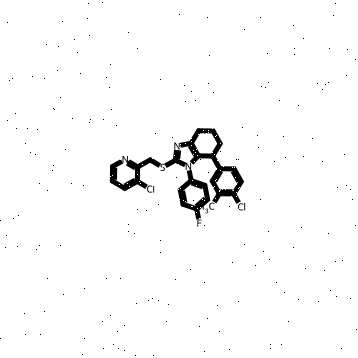 Cc1cc(C2CCCc3nc(SCc4ncccc4Cl)n(-c4ccc(F)cc4)c32)ccc1Cl